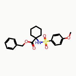 COc1ccc(S(=O)(=O)NC2(C(=O)OCc3ccccc3)CCCCC2)cc1